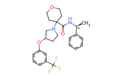 C[C@H](NC(=O)C1(N2CCC(Oc3cccc(C(F)(F)F)c3)C2)CCOCC1)c1ccccc1